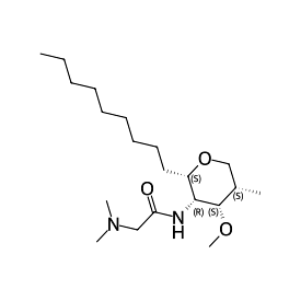 CCCCCCCCC[C@@H]1OC[C@H](C)[C@H](OC)[C@@H]1NC(=O)CN(C)C